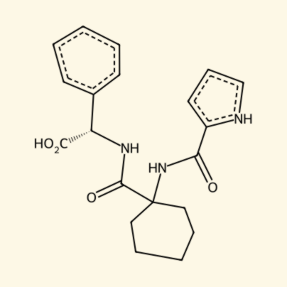 O=C(NC1(C(=O)N[C@H](C(=O)O)c2ccccc2)CCCCC1)c1ccc[nH]1